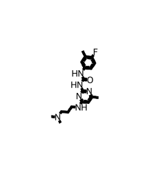 Cc1cc(NCCCN(C)C)nc(NC(=O)Nc2ccc(F)c(C)c2)n1